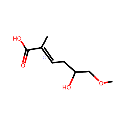 COCC(O)C/C=C(\C)C(=O)O